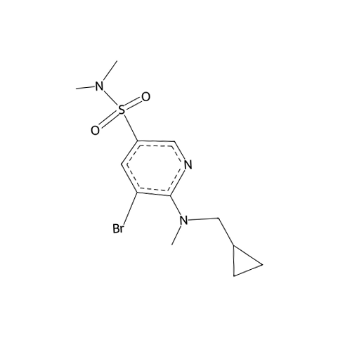 CN(CC1CC1)c1ncc(S(=O)(=O)N(C)C)cc1Br